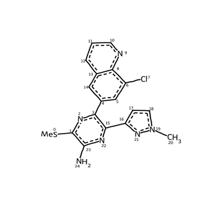 CSc1nc(-c2cc(Cl)c3ncccc3c2)c(-c2ccn(C)n2)nc1N